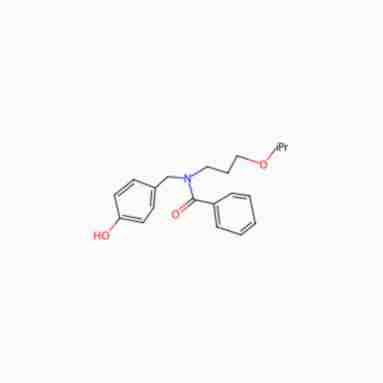 CC(C)OCCCN(Cc1ccc(O)cc1)C(=O)c1ccccc1